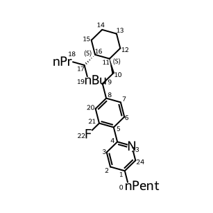 CCCCCc1ccc(-c2ccc(CC[C@@H]3CCCC[C@H]3C(CCC)CCCC)cc2F)nc1